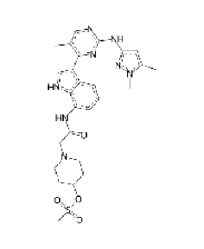 Cc1cnc(Nc2cc(C)n(C)n2)nc1-c1c[nH]c2c(NC(=O)CN3CCC(OS(C)(=O)=O)CC3)cccc12